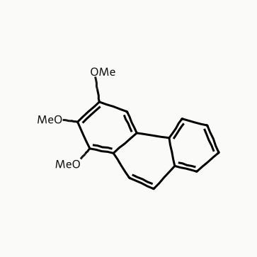 COc1cc2c(ccc3ccccc32)c(OC)c1OC